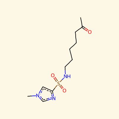 CC(=O)CCCCCNS(=O)(=O)c1cn(C)cn1